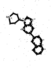 c1ccc2cc(-c3cnc4c(c3)ncn4C3CCNCC3)ccc2c1